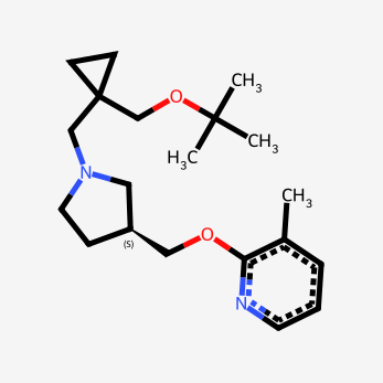 Cc1cccnc1OC[C@H]1CCN(CC2(COC(C)(C)C)CC2)C1